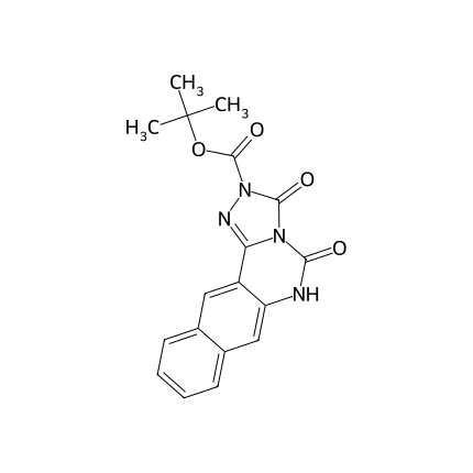 CC(C)(C)OC(=O)n1nc2c3cc4ccccc4cc3[nH]c(=O)n2c1=O